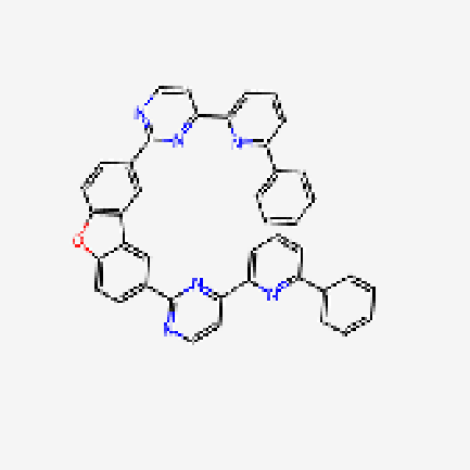 c1ccc(-c2cccc(-c3ccnc(-c4ccc5oc6ccc(-c7nccc(-c8cccc(-c9ccccc9)n8)n7)cc6c5c4)n3)n2)cc1